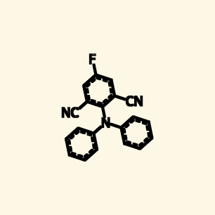 N#Cc1cc(F)cc(C#N)c1N(c1ccccc1)c1ccccc1